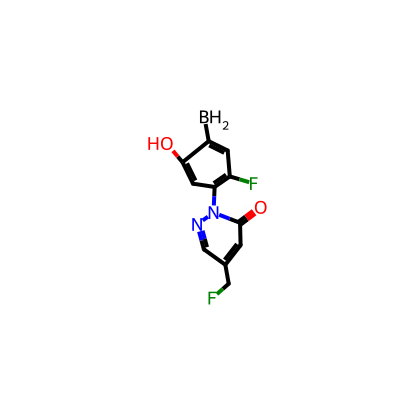 Bc1cc(F)c(-n2ncc(CF)cc2=O)cc1O